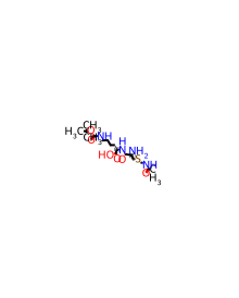 CC(=O)NCSC[C@H](N)C(=O)N[C@@H](CCCCNC(=O)OC(C)(C)C)C(=O)O